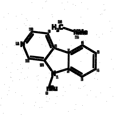 CCCCn1c2ccccc2c2ccncc21.CNC